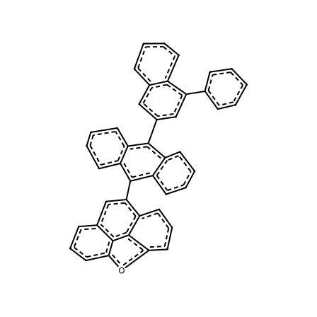 c1ccc(-c2cc(-c3c4ccccc4c(-c4cc5cccc6oc7cccc4c7c56)c4ccccc34)cc3ccccc23)cc1